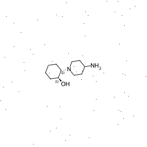 NC1CCN([C@H]2CCCC[C@@H]2O)CC1